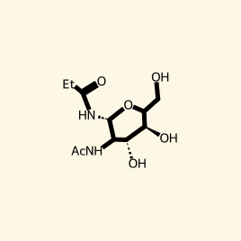 CCC(=O)N[C@@H]1OC(CO)[C@@H](O)[C@H](O)C1NC(C)=O